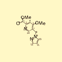 COC(=O)c1cc(OC)c(Cn2cccn2)cn1